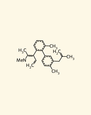 C=C/C(=C(/C)NC)c1cccc(C)c1-c1ccc(C)c(CC(=C)C)c1